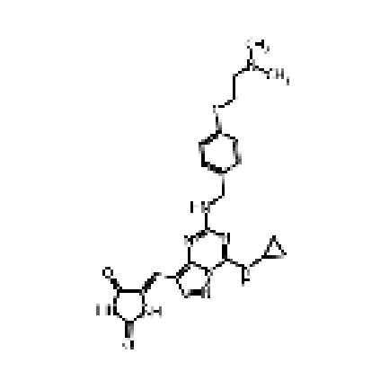 CN(C)CCOc1ccc(CNc2nc(NC3CC3)n3ncc(/C=C4\NC(=O)NC4=O)c3n2)cc1